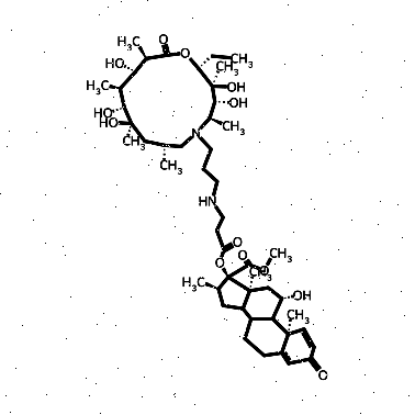 CC[C@H]1OC(=O)[C@H](C)[C@@H](O)[C@H](C)[C@@H](O)[C@](C)(O)C[C@@H](C)CN(CCCNCCC(=O)O[C@]2(C(=O)OC)[C@H](C)CC3C4CCC5=CC(=O)C=C[C@]5(C)C4[C@@H](O)C[C@@]32C)[C@H](C)[C@@H](O)[C@]1(C)O